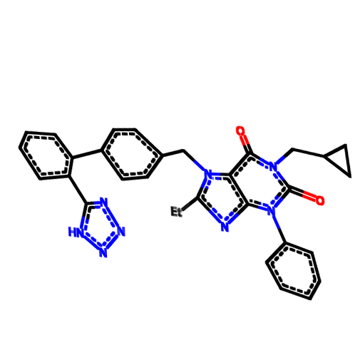 CCc1nc2c(c(=O)n(CC3CC3)c(=O)n2-c2ccccc2)n1Cc1ccc(-c2ccccc2-c2nnn[nH]2)cc1